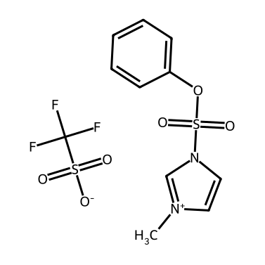 C[n+]1ccn(S(=O)(=O)Oc2ccccc2)c1.O=S(=O)([O-])C(F)(F)F